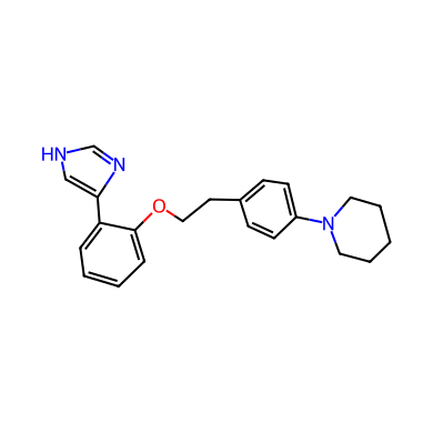 c1ccc(-c2c[nH]cn2)c(OCCc2ccc(N3CCCCC3)cc2)c1